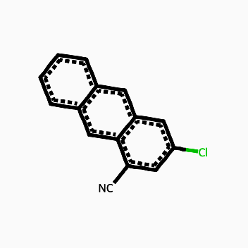 N#Cc1cc(Cl)cc2cc3ccccc3cc12